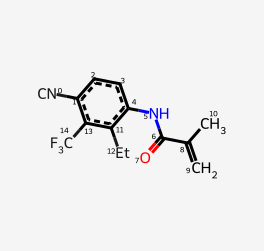 [C-]#[N+]c1ccc(NC(=O)C(=C)C)c(CC)c1C(F)(F)F